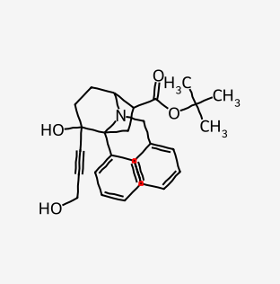 CC(C)(C)OC(=O)C1CC2(c3ccccc3)N(Cc3ccccc3)C1CCC2(O)C#CCO